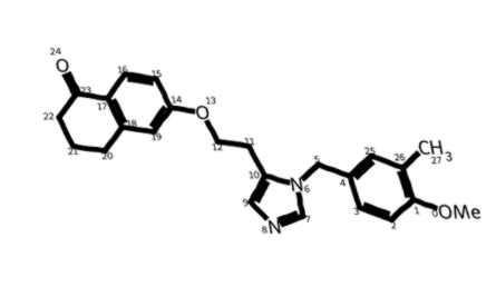 COc1ccc(Cn2cncc2CCOc2ccc3c(c2)CCCC3=O)cc1C